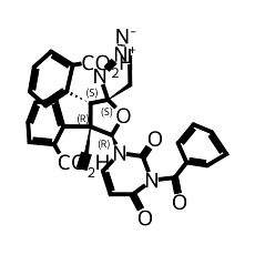 C#C[C@]1(c2ccccc2C(=O)O)[C@H](n2ccc(=O)n(C(=O)c3ccccc3)c2=O)O[C@@](CI)(N=[N+]=[N-])[C@H]1c1ccccc1C(=O)O